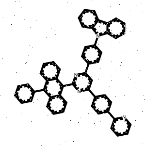 c1ccc(-c2c3ccccc3c(-c3nc(-c4ccc(-c5ccccn5)cc4)cc(-c4ccc(-n5c6ccccc6c6ccccc65)cc4)n3)c3ccccc23)cc1